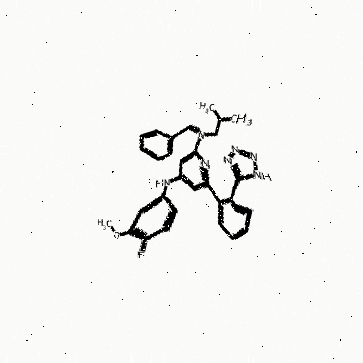 COc1cc(Nc2cc(-c3ccccc3-c3nnn[nH]3)nc(N(Cc3ccccc3)CC(C)C)c2)ccc1F